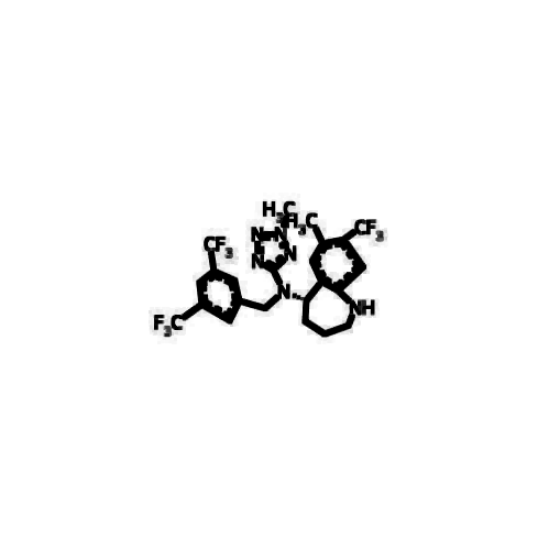 Cc1cc2c(cc1C(F)(F)F)NCCC[C@@H]2N(Cc1cc(C(F)(F)F)cc(C(F)(F)F)c1)c1nnn(C)n1